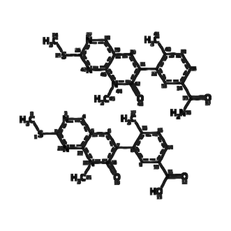 CSc1ncc2cc(-c3cc(C(=O)O)ccc3C)c(=O)n(C)c2n1.CSc1ncc2cc(-c3cc(C(N)=O)ccc3C)c(=O)n(C)c2n1